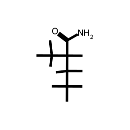 CC(C)(C)C(C)(C)C(C)(C(N)=O)C(C)(C)C